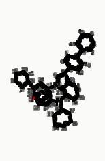 c1ccc(-c2ccc(-c3cn(-c4cccc(-c5ccccc5)c4)c4c(N(c5ccccc5)c5ccccc5)ccnc34)cc2)cc1